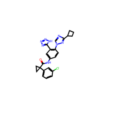 O=C(Nc1ccc(-n2cnc(C3CCC3)n2)c(-c2nnn[nH]2)c1)C1(c2cccc(Cl)c2)CC1